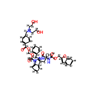 CC(NC(=O)C(C)(Cc1cn(C(=O)OCOC(=O)c2ccc(CN(CCO)CCO)cc2)c2ccccc12)NC(=O)OCc1cc2ccccc2o1)c1ccccc1